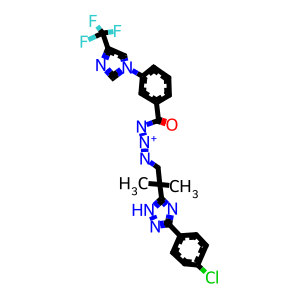 CC(C)(CN=[N+]=NC(=O)c1cccc(-n2cnc(C(F)(F)F)c2)c1)c1nc(-c2ccc(Cl)cc2)n[nH]1